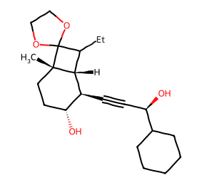 CCC1[C@@H]2[C@@H](C#C[C@@H](O)C3CCCCC3)[C@H](O)CC[C@]2(C)C12OCCO2